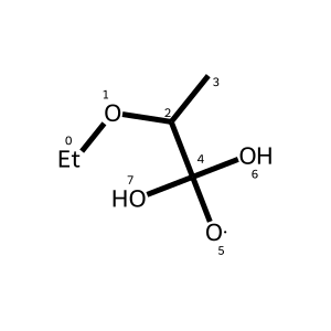 [CH2]COC(C)C([O])(O)O